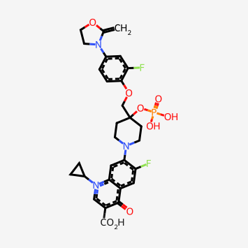 C=C1OCCN1c1ccc(OCC2(OP(=O)(O)O)CCN(c3cc4c(cc3F)c(=O)c(C(=O)O)cn4C3CC3)CC2)c(F)c1